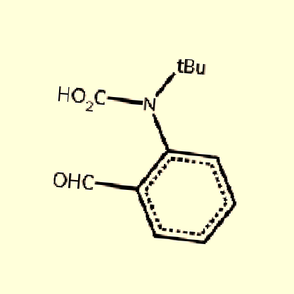 CC(C)(C)N(C(=O)O)c1ccccc1C=O